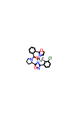 Cc1c(Cl)cccc1-c1noc(C2CCCN2C(=O)c2ccccc2-c2ncco2)n1